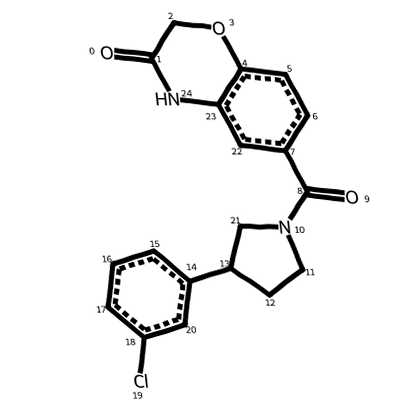 O=C1COc2ccc(C(=O)N3CCC(c4cccc(Cl)c4)C3)cc2N1